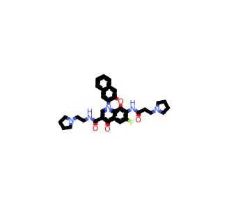 O=C(CCN1CCCC1)Nc1c(F)cc2c(=O)c(C(=O)NCCN3CCCC3)cn3c2c1Oc1cc2ccccc2cc1-3